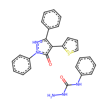 NNC(=O)Nc1ccccc1.O=c1c(-c2cccs2)c(-c2ccccc2)[nH]n1-c1ccccc1